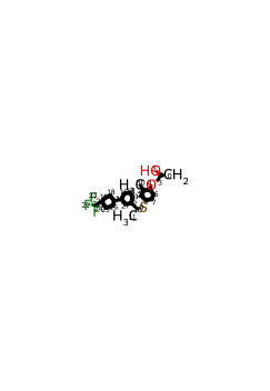 C=C(O)COc1ccc(SC(C)c2cccc(-c3ccc(C(F)(F)F)cc3)c2)cc1C